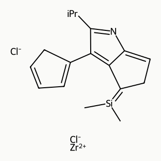 CC(C)C1=NC2=CCC(=[Si](C)C)C2=C1C1=CC=CC1.[Cl-].[Cl-].[Zr+2]